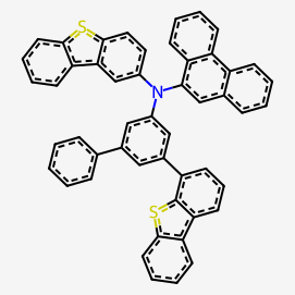 c1ccc(-c2cc(-c3cccc4c3sc3ccccc34)cc(N(c3ccc4sc5ccccc5c4c3)c3cc4ccccc4c4ccccc34)c2)cc1